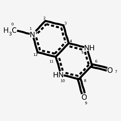 C[n+]1ccc2[nH]c(=O)c(=O)[nH]c2c1